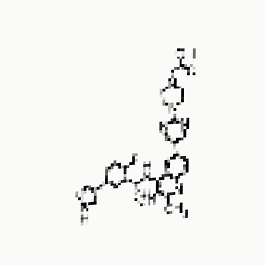 Cc1nc2ccc(-c3cnc(N4CCN(CC(=O)O)CC4)nc3)cc2c(NC(C)c2cc(-c3cn[nH]c3)ccc2F)c1Cl